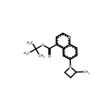 CC1CCN1c1ccc2nccc(C(=O)OC(C)(C)C)c2c1